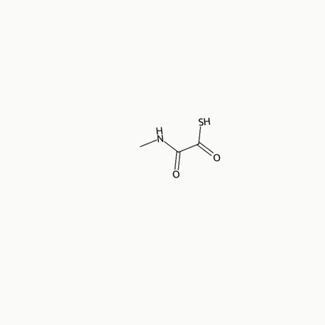 CNC(=O)C(=O)S